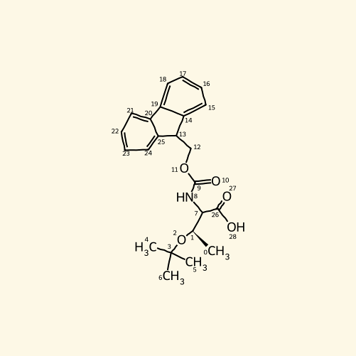 C[C@@H](OC(C)(C)C)C(NC(=O)OCC1c2ccccc2-c2ccccc21)C(=O)O